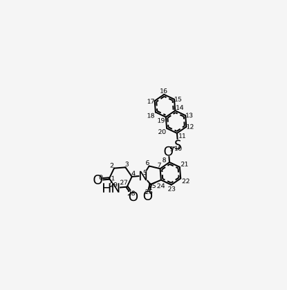 O=C1CCC(N2Cc3c(OSc4ccc5ccccc5c4)cccc3C2=O)C(=O)N1